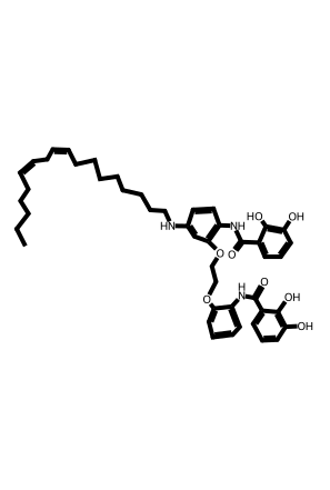 CCCCC/C=C\C/C=C\CCCCCCCCNc1ccc(NC(=O)c2cccc(O)c2O)c(OCCOc2ccccc2NC(=O)c2cccc(O)c2O)c1